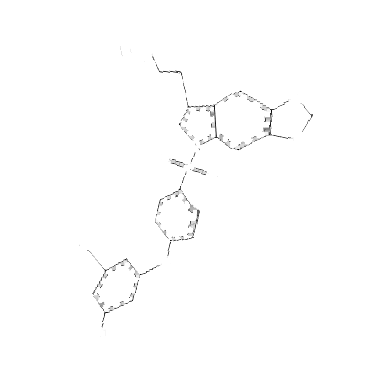 O=C(O)CCc1cn(S(=O)(=O)c2ccc(Oc3cc(Cl)cc(Cl)c3)cc2)c2cc3c(cc12)OCO3